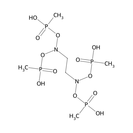 CP(=O)(O)ON(CCN(OP(C)(=O)O)OP(C)(=O)O)OP(C)(=O)O